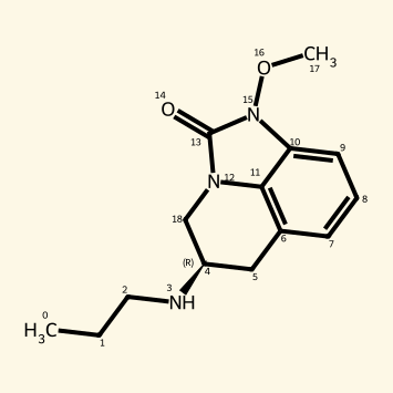 CCCN[C@@H]1Cc2cccc3c2n(c(=O)n3OC)C1